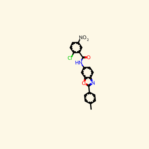 Cc1ccc(-c2nc3ccc(NC(=O)c4cc([N+](=O)[O-])ccc4Cl)cc3o2)cc1